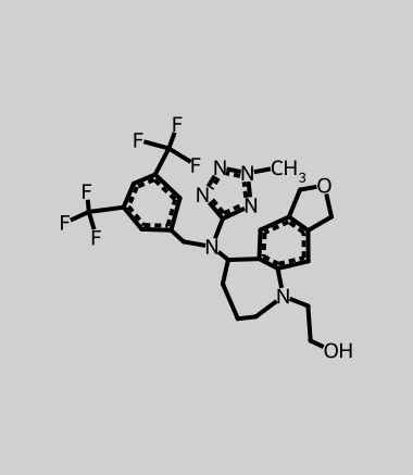 Cn1nnc(N(Cc2cc(C(F)(F)F)cc(C(F)(F)F)c2)C2CCCN(CCO)c3cc4c(cc32)COC4)n1